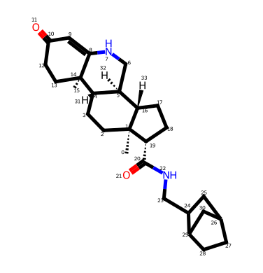 C[C@]12CC[C@H]3[C@@H](CNC4=CC(=O)CC[C@@]43C)[C@@H]1CC[C@@H]2C(=O)NCC1CC2CCC1C2